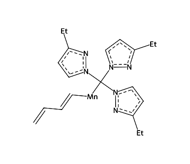 C=CC=[CH][Mn][C](n1ccc(CC)n1)(n1ccc(CC)n1)n1ccc(CC)n1